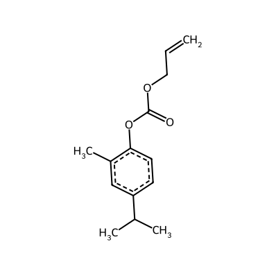 C=CCOC(=O)Oc1ccc(C(C)C)cc1C